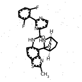 Cc1nc2c(N3C[C@@H]4CC[C@H]3CN4)c(NC(=O)c3ccnc(-c4c(F)cccc4F)n3)ccc2s1